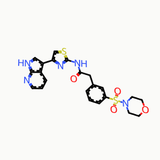 O=C(Cc1cccc(S(=O)(=O)N2CCOCC2)c1)Nc1nc(-c2c[nH]c3ncccc23)cs1